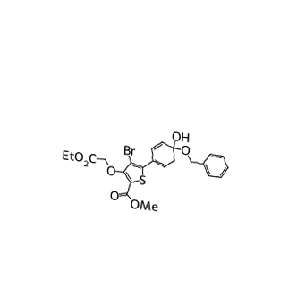 CCOC(=O)COc1c(C(=O)OC)sc(C2=CCC(O)(OCc3ccccc3)C=C2)c1Br